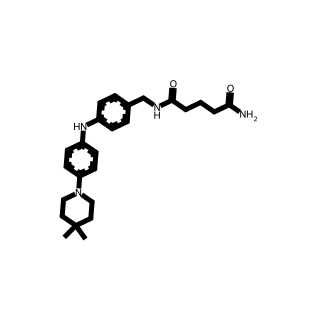 CC1(C)CCN(c2ccc(Nc3ccc(CNC(=O)CCCC(N)=O)cc3)cc2)CC1